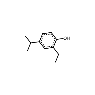 CCc1cc(C(C)C)ccc1O